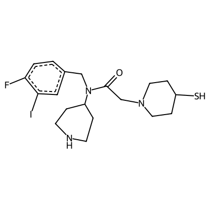 O=C(CN1CCC(S)CC1)N(Cc1ccc(F)c(I)c1)C1CCNCC1